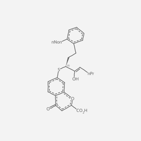 CCCC=C(O)[C@H](CCc1ccccc1CCCCCCCCC)Sc1ccc2c(=O)cc(C(=O)O)oc2c1